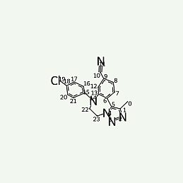 Cc1nnn2c1-c1ccc(C#N)cc1N(c1ccc(Cl)cc1)CC2